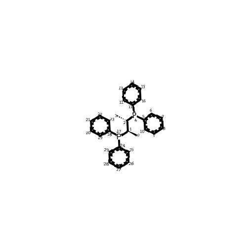 C[C@H]([C@H](C)P(c1ccccc1)c1ccccc1)P(c1ccccc1)c1ccccc1